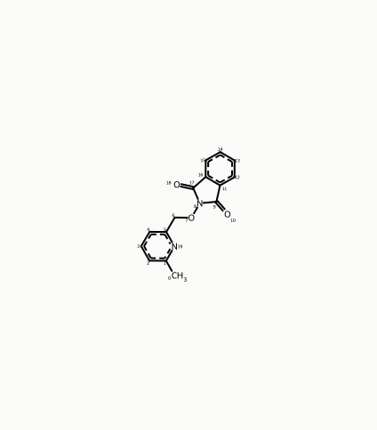 Cc1cccc(CON2C(=O)c3ccccc3C2=O)n1